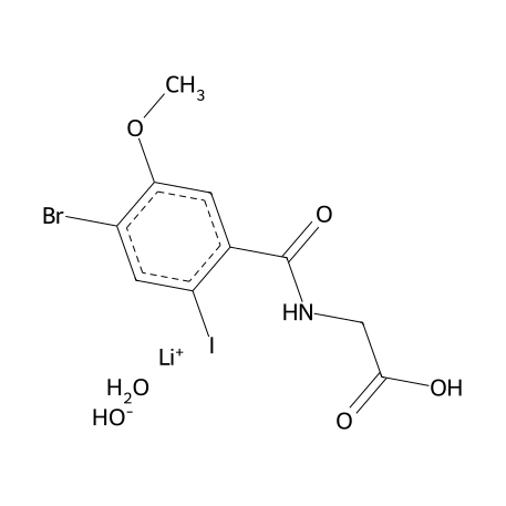 COc1cc(C(=O)NCC(=O)O)c(I)cc1Br.O.[Li+].[OH-]